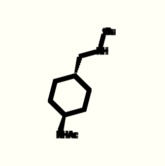 CC(=O)N[C@H]1CC[C@H](CNC(C)(C)C)CC1